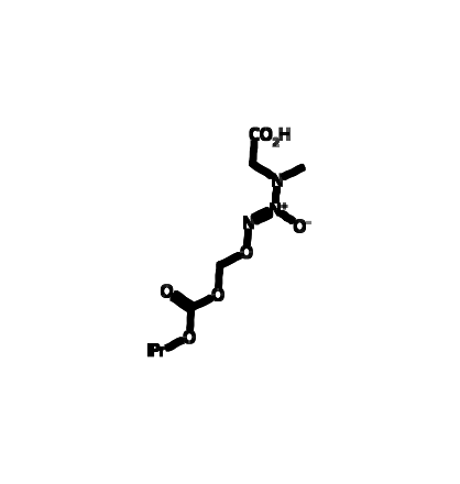 CC(C)OC(=O)OCO/N=[N+](\[O-])N(C)CC(=O)O